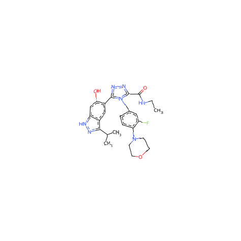 CCNC(=O)c1nnc(-c2cc3c(C(C)C)n[nH]c3cc2O)n1-c1ccc(N2CCOCC2)c(F)c1